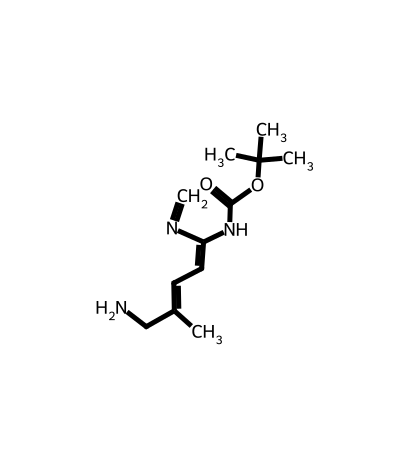 C=N/C(=C\C=C(/C)CN)NC(=O)OC(C)(C)C